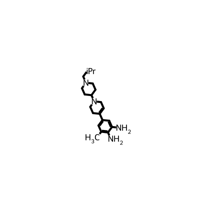 Cc1cc(C2=CCN(C3CCN(CC(C)C)CC3)CC2)cc(N)c1N